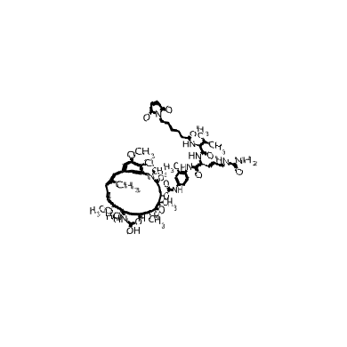 COc1cc2cc(c1Cl)N(C)C(=O)C[C@H](OC(=O)Nc1ccc(NC(=O)[C@H](CCCNC(N)=O)NC(=O)[C@@H](NC(=O)CCCCCN3C(=O)C=CC3=O)C(C)C)c(C)c1)[C@]1(C)O[C@H]1[C@H](C)[C@@H]1C[C@@](O)(NC(O)O1)[C@H](OC)/C=C/C=C(\C)C2